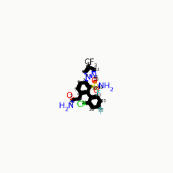 NC(=O)Cc1ccc(-n2cc(C(F)(F)F)cn2)c(S(N)(=O)=O)c1-c1c(F)cc(F)cc1Cl